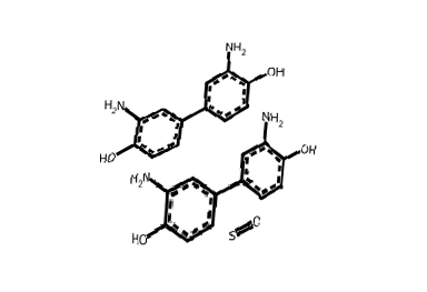 Nc1cc(-c2ccc(O)c(N)c2)ccc1O.Nc1cc(-c2ccc(O)c(N)c2)ccc1O.O=S